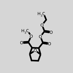 CCOC(=O)OC(=O)C1C2CCC(O2)C1C(=O)OC